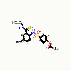 CCCc1ccc(NS(=O)(=O)c2ccc(OC(=O)C(C)(C)C)cc2)c(C(=S)NCC(=O)O)c1